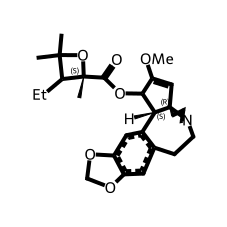 CCC1C(C)(C)O[C@]1(C)C(=O)OC1C(OC)=C[C@]23CCCN2CCc2cc4c(cc2[C@H]13)OCO4